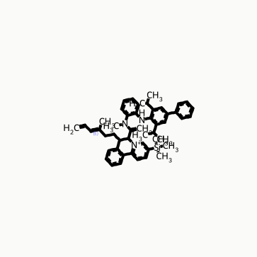 C=C/C=C(\C)CCC1c2ccccc2-c2ccc([Si](C)(C)C)c[n+]2C1C(=C)N(C)c1ccccc1Nc1c(C(C)C)cc(-c2ccccc2)cc1C(C)C